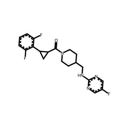 O=C(C1CC1c1c(F)cccc1F)N1CCC(CNc2ncc(F)cn2)CC1